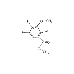 COC(=O)c1cc(F)c(F)c(OC)c1F